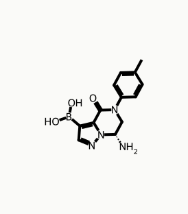 Cc1ccc(N2C[C@H](N)n3ncc(B(O)O)c3C2=O)cc1